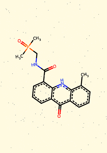 Cc1cccc2c(=O)c3cccc(C(=O)NCP(C)(C)=O)c3[nH]c12